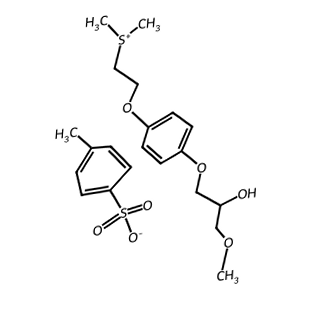 COCC(O)COc1ccc(OCC[S+](C)C)cc1.Cc1ccc(S(=O)(=O)[O-])cc1